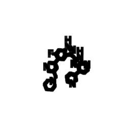 Fc1cc2[nH]nc(-c3nc4c(-c5cccnc5)ccnc4[nH]3)c2cc1-c1cncc(CN2CCCCC2)c1